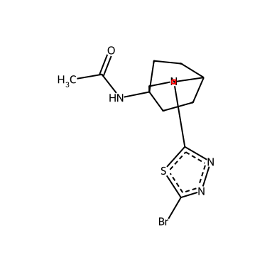 CC(=O)NC12CCC(CC1)CN(c1nnc(Br)s1)C2